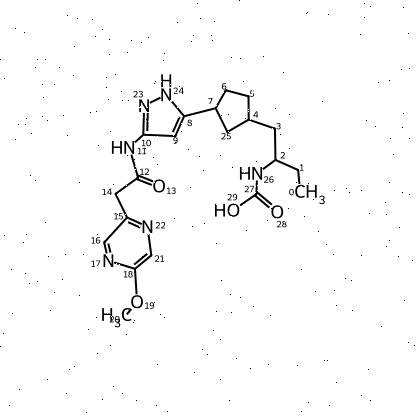 CCC(CC1CCC(c2cc(NC(=O)Cc3cnc(OC)cn3)n[nH]2)C1)NC(=O)O